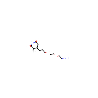 CC(C)C1C(=O)NC(=O)CC1CCCOCCOCCN